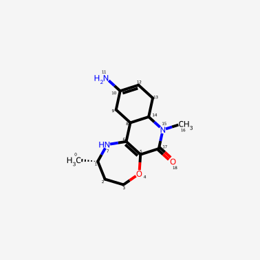 C[C@H]1CCOC2=C(N1)C1CC(N)=CCC1N(C)C2=O